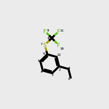 C[CH]c1cccc(SC(F)(F)F)c1